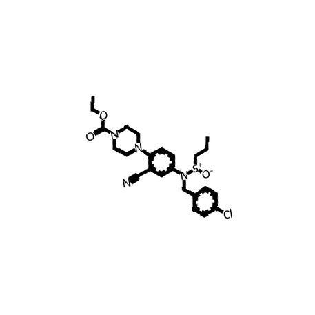 CCC[S+]([O-])N(Cc1ccc(Cl)cc1)c1ccc(N2CCN(C(=O)OCC)CC2)c(C#N)c1